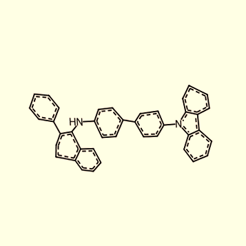 c1ccc(-c2ccc3ccccc3c2Nc2ccc(-c3ccc(-n4c5ccccc5c5ccccc54)cc3)cc2)cc1